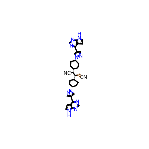 N#CSC(C(C#N)[C@H]1CC[C@@H](n2cc(-c3ncnc4[nH]ccc34)cn2)CC1)[C@H]1CC[C@@H](n2cc(-c3ncnc4[nH]ccc34)cn2)CC1